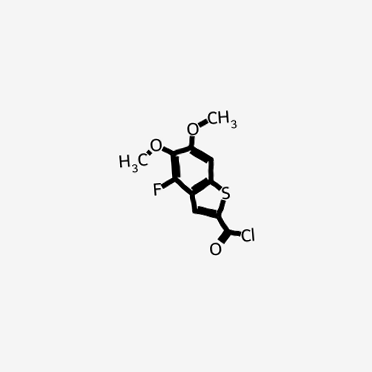 COc1cc2sc(C(=O)Cl)cc2c(F)c1OC